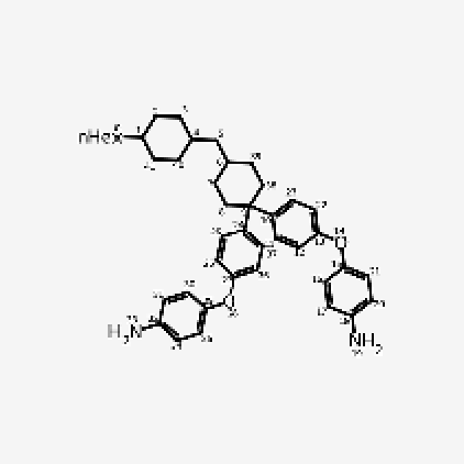 CCCCCCC1CCC(CC2CCC(c3ccc(Oc4ccc(N)cc4)cc3)(c3ccc(Oc4ccc(N)cc4)cc3)CC2)CC1